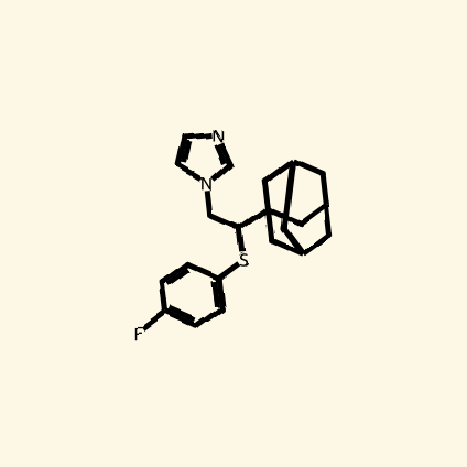 Fc1ccc(SC(Cn2ccnc2)C23CC4CC(CC(C4)C2)C3)cc1